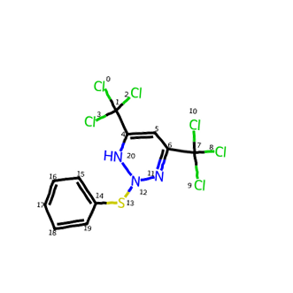 ClC(Cl)(Cl)C1=CC(C(Cl)(Cl)Cl)=NN(Sc2ccccc2)N1